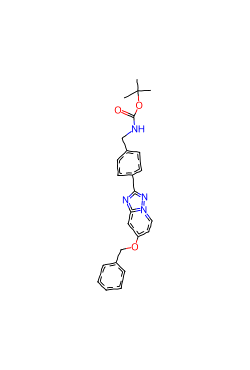 CC(C)(C)OC(=O)NCc1ccc(-c2nc3cc(OCc4ccccc4)ccn3n2)cc1